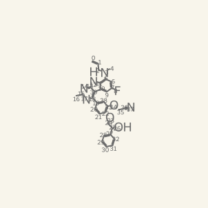 C=CCN(C)c1cc(F)cc2c1[nH]c1nc(C)nc(-c3ccc(OCC(O)c4ccccc4)c(OCC#N)c3)c12